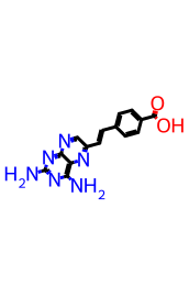 Nc1nc(N)c2nc(/C=C/c3ccc(C(=O)O)cc3)cnc2n1